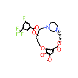 COc1cc2cc(c1OC)OCCCC(OC(=O)c1cc(F)cc(C(F)(F)F)c1)CCN1CCCN(CCCOC2=O)CC1